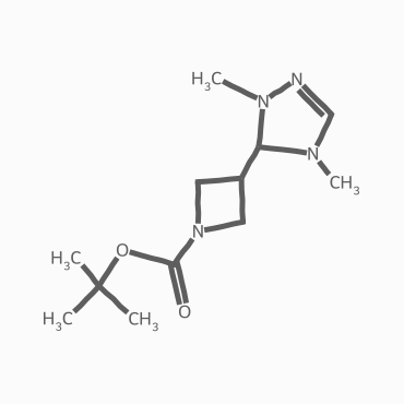 CN1C=NN(C)C1C1CN(C(=O)OC(C)(C)C)C1